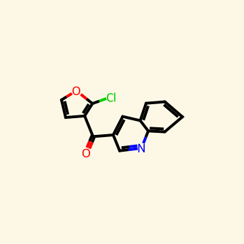 O=C(c1cnc2ccccc2c1)c1ccoc1Cl